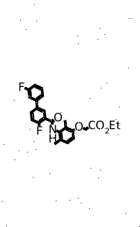 CCOC(=O)COc1ccc(C)c(NC(=O)c2cc(-c3cccc(F)c3)ccc2F)c1C